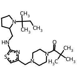 CCC(C)(C)N1CCCC1CNc1nc(CN2CCN(C(=O)C(C)(C)C)CC2)cs1